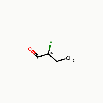 CC[C@H](F)[C]=O